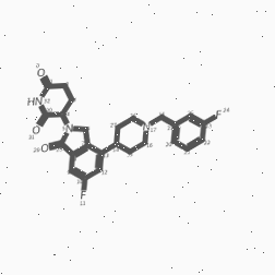 O=C1CCC(N2Cc3c(cc(F)cc3C3CCN(Cc4cccc(F)c4)CC3)C2=O)C(=O)N1